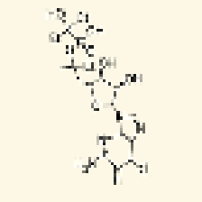 CCC(C)(CC1O[C@@H](n2cnc3c2N=C(N)NC3Cl)[C@H](O)[C@@H]1O)OP(=O)(O)C(O)(CC)CC